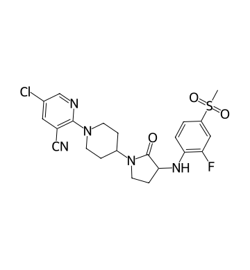 CS(=O)(=O)c1ccc(NC2CCN(C3CCN(c4ncc(Cl)cc4C#N)CC3)C2=O)c(F)c1